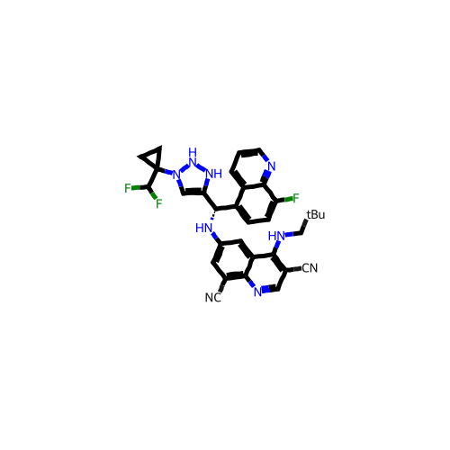 CC(C)(C)CNc1c(C#N)cnc2c(C#N)cc(N[C@H](C3=CN(C4(C(F)F)CC4)NN3)c3ccc(F)c4ncccc34)cc12